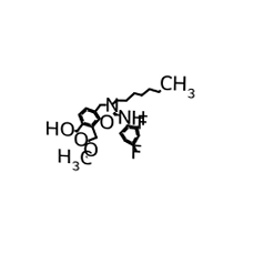 CCCCCCCN(Cc1ccc(C(=O)O)c(CCOC)c1)C(=O)Nc1ccc(F)cc1F